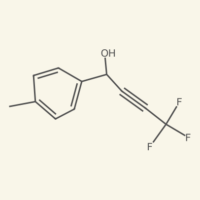 Cc1ccc(C(O)C#CC(F)(F)F)cc1